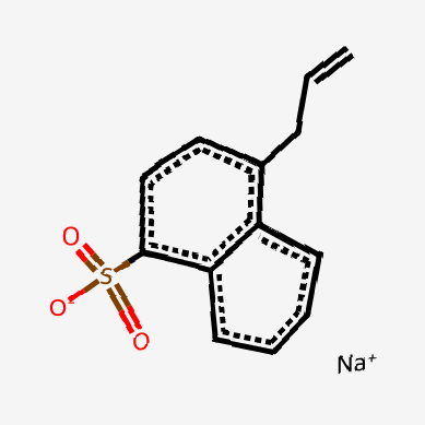 C=CCc1ccc(S(=O)(=O)[O-])c2ccccc12.[Na+]